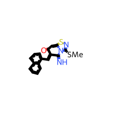 CSC1=NSC2=CC(=O)/C(=C\c3cccc4ccccc34)C(=N)N21